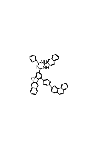 c1ccc(C2=NC(c3cc(-c4ccc(-c5ccc6ccc7ccccc7c6c5)cc4)c4c(c3)oc3cc5ccccc5cc34)NC(c3ccc4ccccc4c3)N2)cc1